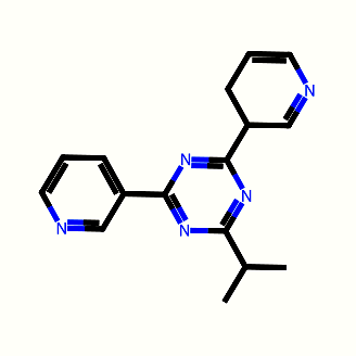 CC(C)c1nc(-c2cccnc2)nc(C2C=NC=CC2)n1